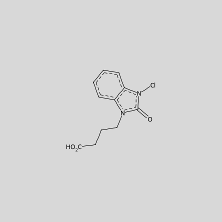 O=C(O)CCCn1c(=O)n(Cl)c2ccccc21